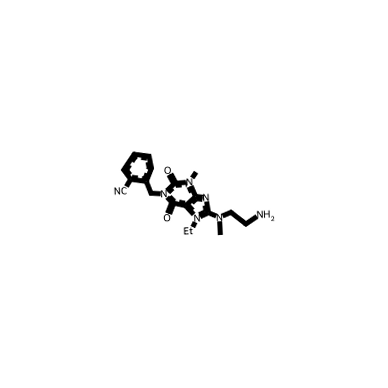 CCn1c(N(C)CCN)nc2c1c(=O)n(Cc1ccccc1C#N)c(=O)n2C